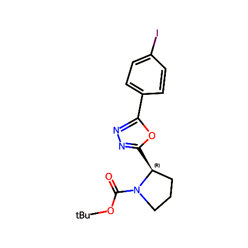 CC(C)(C)OC(=O)N1CCC[C@@H]1c1nnc(-c2ccc(I)cc2)o1